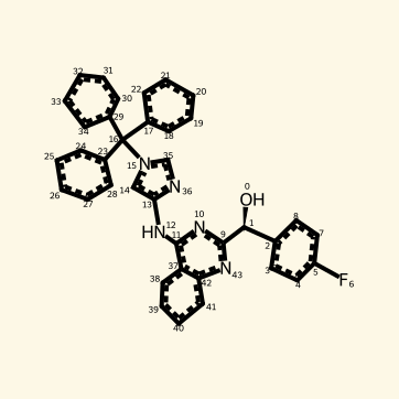 O[C@@H](c1ccc(F)cc1)c1nc(Nc2cn(C(c3ccccc3)(c3ccccc3)c3ccccc3)cn2)c2ccccc2n1